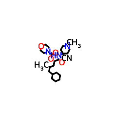 CC(CC1CCCCC1)CC(OC(=O)N1CCOCC1)C(=O)NC1(C#N)CCN(C)CC1